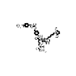 CC(C)C(NC(=O)CCCCCN1C(=O)C=CC1=O)C(=O)NC(CCCNC(N)=O)C(=O)Nc1ccc(COC(=O)OCc2ccc([N+](=O)[O-])cc2)cc1